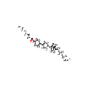 CCCCC/C=C/COc1ccc(-c2ccc(C34CCC(CCCCCCC)(CC3)CC4)cc2)cc1